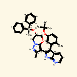 [2H]C([2H])([2H])Oc1ccc(C#N)c(-c2c(-c3c(C)nn4c3OC[C@@H](O[Si](c3ccccc3)(c3ccccc3)C(C)(C)C)C4)[nH]c3ncccc23)c1